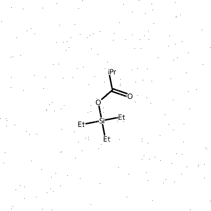 CC[Si](CC)(CC)OC(=O)C(C)C